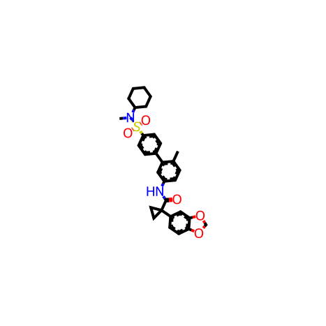 Cc1ccc(NC(=O)C2(c3ccc4c(c3)OCO4)CC2)cc1-c1ccc(S(=O)(=O)N(C)C2CCCCC2)cc1